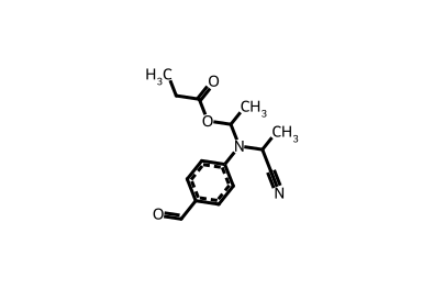 CCC(=O)OC(C)N(c1ccc(C=O)cc1)C(C)C#N